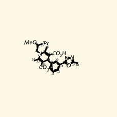 COC(CN1C(C)=C(C(=O)O)C(c2cccc(-c3nnc(C)o3)c2)C(C(=O)O)=C1C)C(C)C